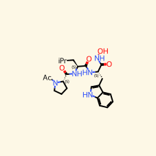 CC(=O)N1CCC[C@H]1C(=O)N[C@@H](CC(C)C)C(=O)N[C@@H](Cc1c[nH]c2ccccc12)C(=O)NO